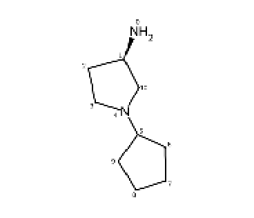 N[C@@H]1CCN(C2CCCC2)C1